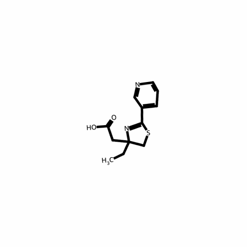 CCC1(CC(=O)O)CSC(c2cccnc2)=N1